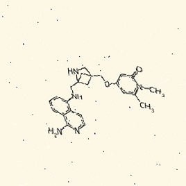 Cc1cc(OCC23CNC(CNc4cccc5c(N)nccc45)(C2)C3)cc(=O)n1C